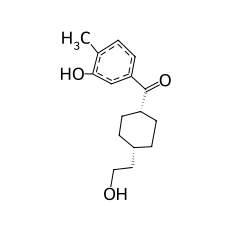 Cc1ccc(C(=O)[C@H]2CC[C@@H](CCO)CC2)cc1O